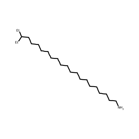 CCC(CC)CCCCCCCCCCCCCCCCCCCN